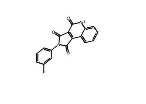 O=C1c2c(c3ccccc3[nH]c2=O)C(=O)N1c1cccc(F)c1